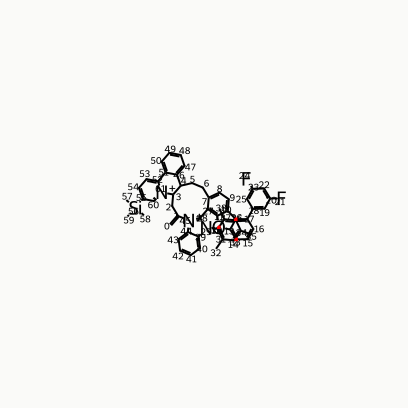 C=C1CC2C(CCc3ccc4c(oc5cccc(-c6cc(F)cc(F)c6)c54)c3-c3n(-c4c(C)cc(C)cc4C)c4ccccc4[n+]31)c1ccccc1-c1ccc([Si](C)(C)C)c[n+]12